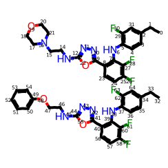 CCc1ccc(Nc2c(-c3nnc(NCCN4CCOCC4)o3)ccc(F)c2F)c(F)c1.CCc1ccc(Nc2c(-c3nnc(NCCOc4ccccc4)o3)ccc(F)c2F)c(F)c1